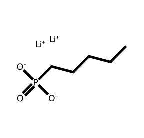 CCCCCP(=O)([O-])[O-].[Li+].[Li+]